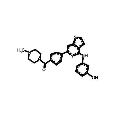 CN1CCN(C(=O)c2ccc(-c3cc4sccc4c(Nc4cccc(O)c4)n3)cc2)CC1